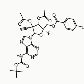 C#C[C@]1(OC(C)=O)[C@H](n2cnc3c(NC(=O)OC(C)(C)C)ncnc32)O[C@](F)(COC(=O)c2ccc(Cl)cc2)[C@H]1OC(C)=O